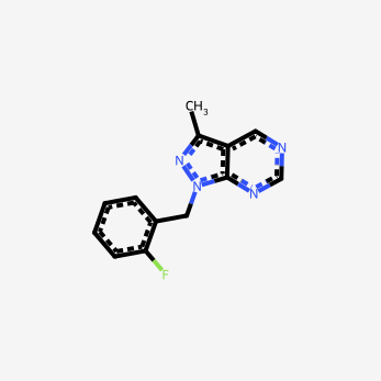 Cc1nn(Cc2ccccc2F)c2ncncc12